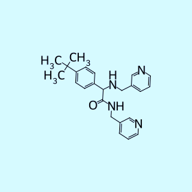 CC(C)(C)c1ccc(C(NCc2cccnc2)C(=O)NCc2cccnc2)cc1